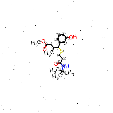 COC(=O)CC(C)C(SCCC(=O)NC(C)(C)C)c1cccc(O)c1